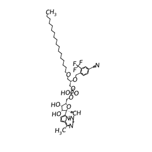 C#C[C@@]1(c2ccc3c(C)ncnn23)O[C@H](COP(=O)(O)OC[C@@H](COCCCCCCCCCCCCCCCCCC)OCc2ccc(C#N)cc2C(F)(F)F)[C@@H](O)[C@H]1O